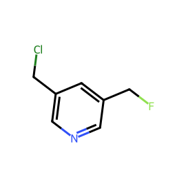 FCc1cncc(CCl)c1